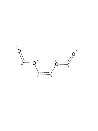 O=CO/C=C\OC=O